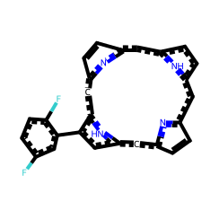 Fc1ccc(F)c(-c2cc3cc4nc(cc5ccc(cc6nc(cc2[nH]3)C=C6)[nH]5)C=C4)c1